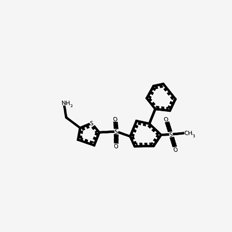 CS(=O)(=O)c1ccc(S(=O)(=O)c2ccc(CN)s2)cc1-c1ccccc1